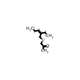 CC/C=C(/CC)CSCC(C)=O